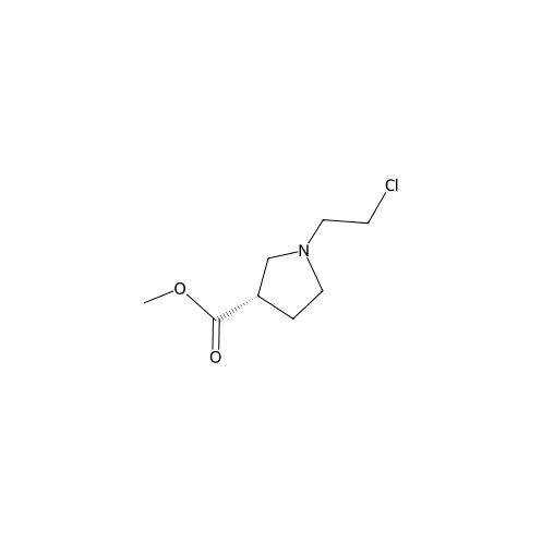 COC(=O)[C@H]1CCN(CCCl)C1